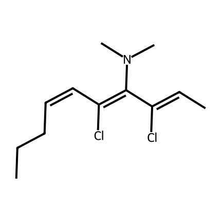 CC=C(Cl)/C(=C(Cl)/C=C\CCC)N(C)C